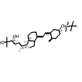 C=C1CC[C@H](O[Si](C)(C)C(C)(C)C)C/C1=C/C=C1CCC[C@@]2(C)C1CC[C@@H]2[C@H](C)CC[C@@H](O)C(C)(C)O